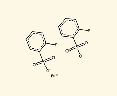 O=S(=O)([O-])c1ccccc1F.O=S(=O)([O-])c1ccccc1F.[Eu+2]